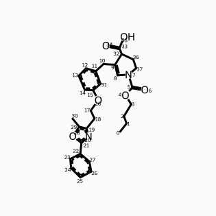 CCCCOC(=O)N1C=C(Cc2cccc(OCCc3nc(-c4ccccc4)oc3C)c2)C(C(=O)O)CC1